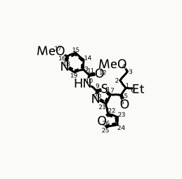 CCC(CCOC)C(=O)c1sc(NC(=O)c2ccc(OC)nc2)nc1-c1ccco1